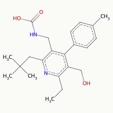 CCc1nc(CC(C)(C)C)c(CNC(=O)O)c(-c2ccc(C)cc2)c1CO